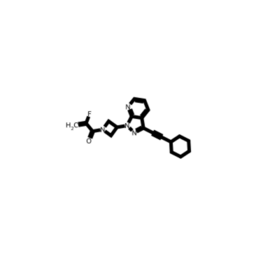 C=C(F)C(=O)N1CC(n2nc(C#CC3CCCCC3)c3cccnc32)C1